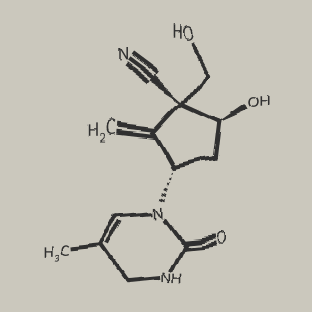 C=C1[C@@H](N2C=C(C)CNC2=O)C[C@H](O)[C@@]1(C#N)CO